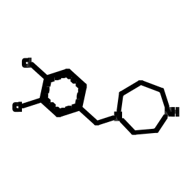 Clc1ccc(CN2CCCNCC2)cc1Cl